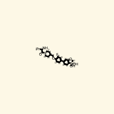 CC(C)C(N)C(=O)N1CCC(COc2ccc(-c3ccc4c(c3)OCS4(O)O)cc2F)CC1